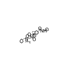 COCCNC(=O)c1ccc2c(c1)CC[C@@]21OC(=O)N(CC(=O)N(Cc2ccccc2)[C@@H](C)C2CC2)C1=O